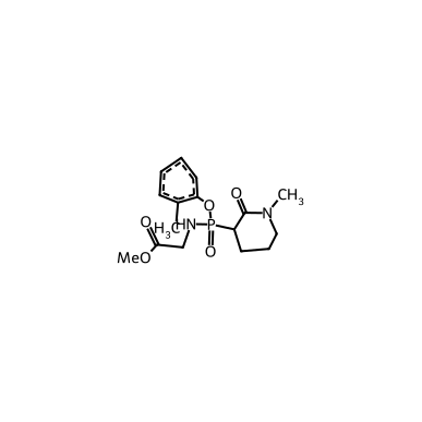 COC(=O)CNP(=O)(Oc1ccccc1C)C1CCCN(C)C1=O